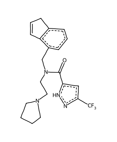 O=C(c1cc(C(F)(F)F)n[nH]1)N(CCN1CCCC1)Cc1cccc2c1C=CC2